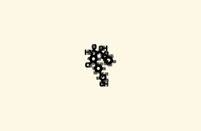 O=C1Nc2cc(Cl)c(-c3ccc(N4CCC(O)C4)cc3)cc2/C1=C(/O)c1cc2ncccc2o1